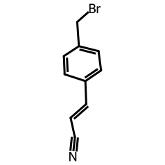 N#CC=Cc1ccc(CBr)cc1